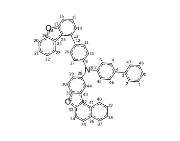 c1ccc(-c2ccc(N(c3ccc(-c4cccc5oc6ccccc6c45)cc3)c3ccc4oc5ccc6ccccc6c5c4c3)cc2)cc1